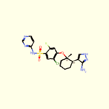 C[C@]1(Oc2cc(F)c(S(=O)(=O)Nc3ccncn3)cc2Cl)CCCC[C@@H]1c1c[nH]nc1N